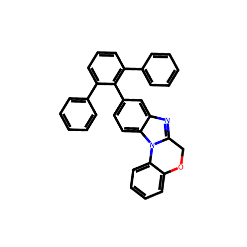 c1ccc(-c2cccc(-c3ccccc3)c2-c2ccc3c(c2)nc2n3-c3ccccc3OC2)cc1